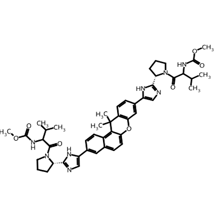 COC(=O)NC(C(=O)N1CCC[C@H]1c1ncc(-c2ccc3c(c2)Oc2ccc4cc(-c5cnc([C@@H]6CCCN6C(=O)C(NC(=O)OC)C(C)C)[nH]5)ccc4c2C3(C)C)[nH]1)C(C)C